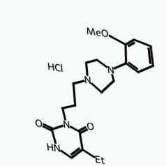 CCc1c[nH]c(=O)n(CCCN2CCN(c3ccccc3OC)CC2)c1=O.Cl